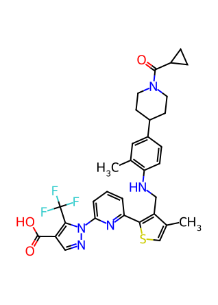 Cc1cc(C2CCN(C(=O)C3CC3)CC2)ccc1NCc1c(C)csc1-c1cccc(-n2ncc(C(=O)O)c2C(F)(F)F)n1